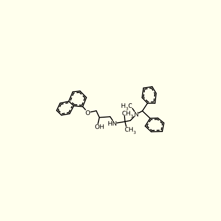 CN(CC(C)(C)NCC(O)COc1cccc2ccccc12)C(c1ccccc1)c1ccccc1